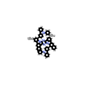 CC(C)(C)c1cc(-c2ccc3c(c2)c2ccccc2n3-c2ccccc2)c2c(c1)c1cc3ccccc3c3c4nc5c(nc4n2c13)c1cc(C(C)(C)C)cc2c3cc4ccccc4c(-c4ccc6c(c4)c4ccccc4n6-c4ccccc4)c3n5c21